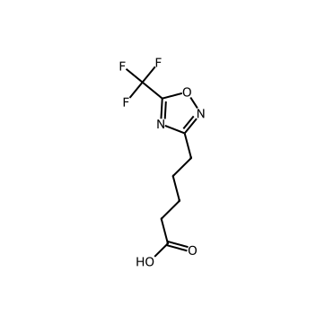 O=C(O)CCCCc1noc(C(F)(F)F)n1